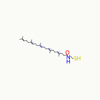 CC(C)=CCC/C(C)=C/CC/C(C)=C/CC/C=C(\C)CC/C=C(\C)CCC(=O)NCCS